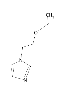 CCOCCn1c[c]nc1